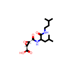 CC(C)CCNC(=O)C(CC(C)C)NC(=O)[C@H]1O[C@@H]1C(=O)O